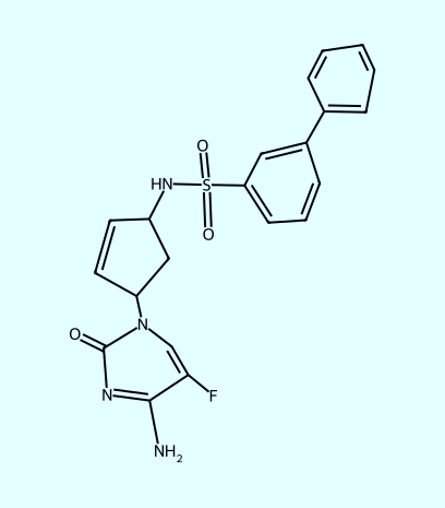 Nc1nc(=O)n(C2C=CC(NS(=O)(=O)c3cccc(-c4ccccc4)c3)C2)cc1F